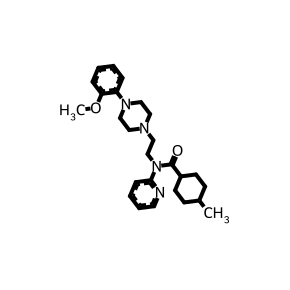 COc1ccccc1N1CCN(CCN(C(=O)C2CCC(C)CC2)c2ccccn2)CC1